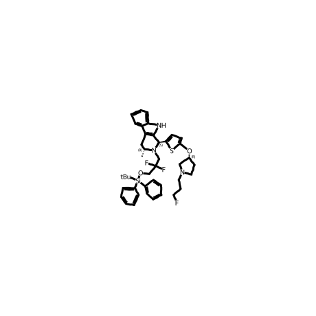 C[C@@H]1Cc2c([nH]c3ccccc23)[C@@H](c2ccc(O[C@@H]3CCN(CCCF)C3)s2)N1CC(F)(F)CO[Si](c1ccccc1)(c1ccccc1)C(C)(C)C